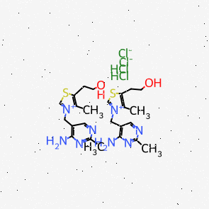 Cc1ncc(C[n+]2csc(CCO)c2C)c(N)n1.Cc1ncc(C[n+]2csc(CCO)c2C)c(N)n1.Cl.Cl.[Cl-].[Cl-]